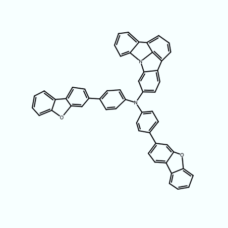 c1ccc2c(c1)oc1cc(-c3ccc(N(c4ccc(-c5ccc6c(c5)oc5ccccc56)cc4)c4ccc5c6cccc7c8ccccc8n(c5c4)c76)cc3)ccc12